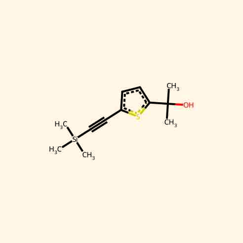 CC(C)(O)c1ccc(C#C[Si](C)(C)C)s1